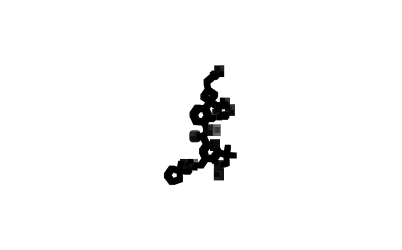 Cn1cnnc1C1(c2cccc(NC(=O)c3cc(CNCC4(C)CCCC4)c4c(n3)C(C)(C)CN4)c2)CC(CC#N)C1